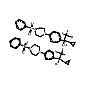 O=S(=O)(c1ccccc1)N1CCN(c2ccc(C(O)(C3CC3)C(F)(F)F)cc2)CC1.O=S(=O)(c1ccccc1)N1CCN(c2ccc([C@@](O)(C3CC3)C(F)(F)F)cc2)CC1